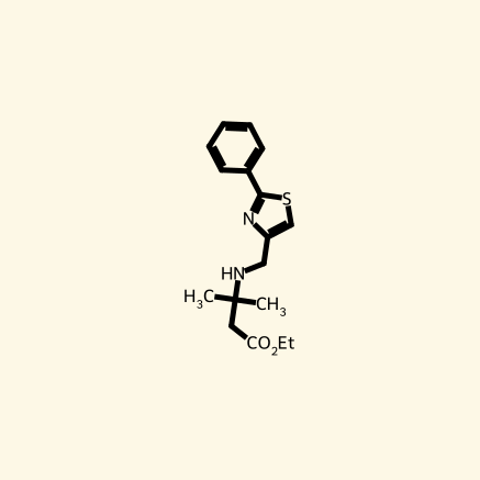 CCOC(=O)CC(C)(C)NCc1csc(-c2ccccc2)n1